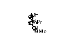 CCCOC1(C2COB(O)C2)C=NC=C(c2ccc(OC)nc2)C1